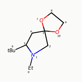 CCN1CC2(CC1C(C)(C)C)OCCO2